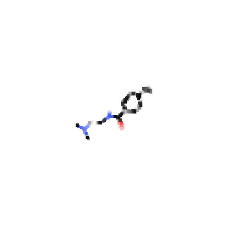 CN(C)CCNC(=O)c1ccc([N+](=O)[O-])cc1